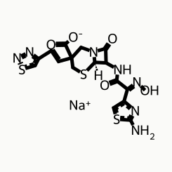 Nc1nc(C(=NO)C(=O)NC2C(=O)N3CC(C=Cc4csnn4)(C(=O)[O-])CS[C@H]23)cs1.[Na+]